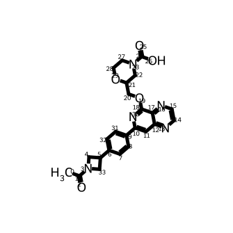 CC(=O)N1CC(c2ccc(-c3cc4nccnc4c(OCC4CN(C(=O)O)CCO4)n3)cc2)C1